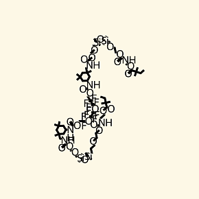 CCC(C)(C)C(=O)OCCNC(=O)OCCOCCC[Si](C)(C)O[Si](C)(C)COCOC(=O)NCC1(C)CC(NC(=O)OCC(F)(F)OC(F)(F)C(F)(F)OC(F)(F)C(F)(F)COC(=O)NC2CC(C)(C)CC(C)(CNC(=O)OCOC[Si](C)(C)O[Si](C)(C)COCCOC(=O)NCOC(=O)C(C)(C)CC)C2)CC(C)(C)C1